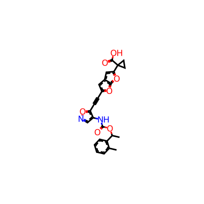 Cc1ccccc1C(C)OC(=O)Nc1cnoc1C#Cc1cc2cc(C3(C(=O)O)CC3)oc2o1